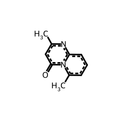 Cc1cc(=O)n2c(C)cccc2n1